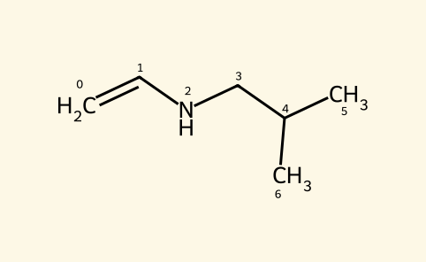 C=CNCC(C)C